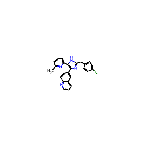 Cc1cccc(-c2[nH]c(Cc3ccc(Cl)cc3)nc2-c2ccc3ncccc3c2)n1